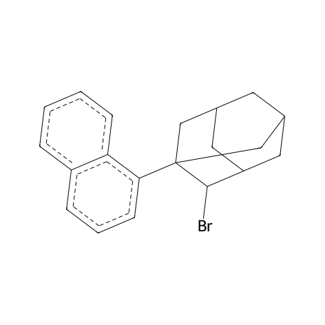 BrC1C2CC3CC(C2)CC1(c1cccc2ccccc12)C3